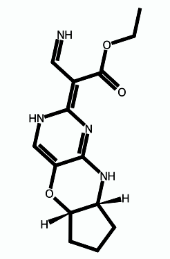 CCOC(=O)/C(C=N)=C1\N=C2N[C@@H]3CCC[C@@H]3OC2=CN1